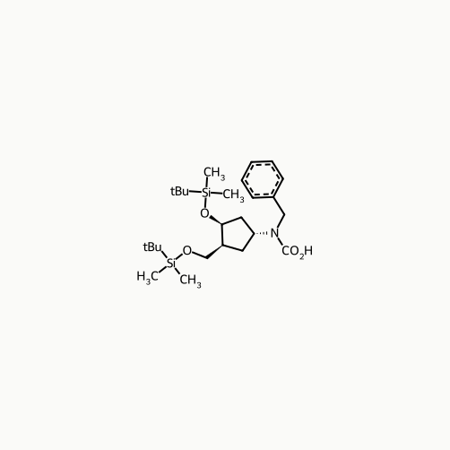 CC(C)(C)[Si](C)(C)OC[C@@H]1C[C@@H](N(Cc2ccccc2)C(=O)O)C[C@@H]1O[Si](C)(C)C(C)(C)C